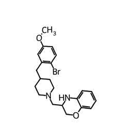 COc1ccc(Br)c(CC2CCN(CC3COc4ccccc4N3)CC2)c1